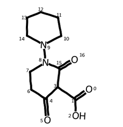 O=C(O)C1C(=O)CCN(N2CCCCC2)C1=O